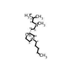 CCCCCN1CCO[C@H](CCN(C)CC(C)C)C1